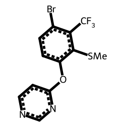 CSc1c(Oc2ccncn2)ccc(Br)c1C(F)(F)F